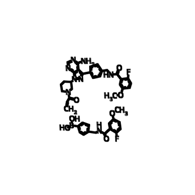 C=CC(=O)N1CCC[C@@H](n2nc(-c3ccc(CNC(=O)c4cc(OC)ccc4F)cc3)c3c(N)ncnc32)C1.COc1ccc(F)c(C(=O)NCc2ccc(B(O)O)cc2)c1